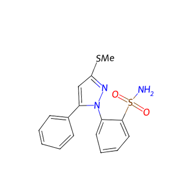 CSc1cc(-c2ccccc2)n(-c2ccccc2S(N)(=O)=O)n1